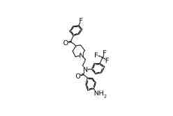 Nc1ccc(C(=O)N(CCN2CCC(C(=O)c3ccc(F)cc3)CC2)c2cccc(C(F)(F)F)c2)cc1